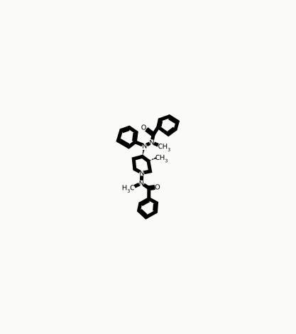 C[C@@H]1CN(N(C)C(=O)c2ccccc2)CC[C@@H]1N(c1ccccc1)N(C)C(=O)c1ccccc1